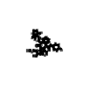 Cc1scc2c1N(C(=O)CN1CCN(C)CC1)c1ccccc1N(COC1C3(C)CCC(C3)C1(C)C)C2=O.O=C(O)CC(O)C(=O)O